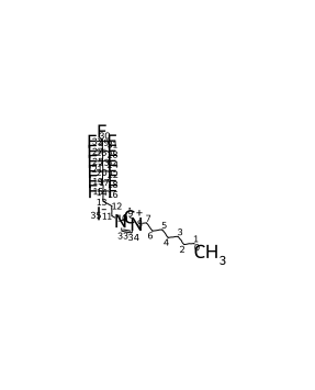 CCCCCCCCN1[C+]N(CCCC(F)(F)C(F)(F)C(F)(F)C(F)(F)C(F)(F)C(F)(F)F)C=C1.[I-]